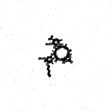 C=CCCCO[C@H]1[C@H](C)O[C@@H](O[C@H]2[C@H](C)[C@@H](O[C@@H]3O[C@H](C)C[C@H](N(C)C)[C@H]3OC(C)=O)[C@](C)(O)C[C@@H](C)CN(C)[C@H](C)[C@H]3OC(=O)O[C@]3(C)[C@@H](CC)OC(=O)[C@@H]2C)C[C@@]1(C)OC